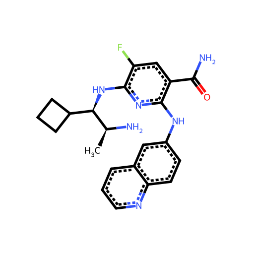 C[C@H](N)[C@H](Nc1nc(Nc2ccc3ncccc3c2)c(C(N)=O)cc1F)C1CCC1